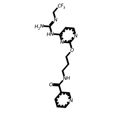 NC(=NCC(F)(F)F)Nc1ccnc(OCCCNC(=O)c2cccnc2)n1